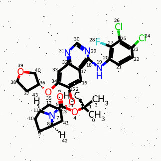 CC(C)(C)OC(=O)N1[C@@H]2CC[C@H]1C[C@H](Oc1cc3c(Nc4ccc(Cl)c(Cl)c4F)ncnc3cc1O[C@@H]1CCOC1)C2